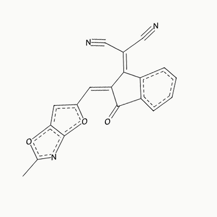 Cc1nc2oc(/C=C3\C(=O)c4ccccc4C3=C(C#N)C#N)cc2o1